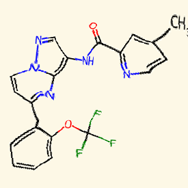 Cc1ccnc(C(=O)Nc2cnn3ccc(-c4ccccc4OC(F)(F)F)nc23)c1